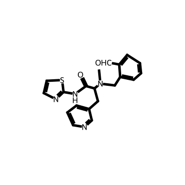 CN(Cc1ccccc1C=O)C(Cc1cccnc1)C(=O)Nc1nccs1